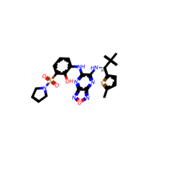 Cc1ccc([C@H](Nc2nc3nonc3nc2Nc2cccc(S(=O)(=O)N3CCCC3)c2O)C(C)(C)C)s1